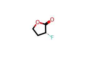 O=C1OCC[C@H]1F